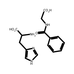 NC(Cc1c[nH]cn1)C(=O)O.O=C(O)CNC(=O)c1ccccc1